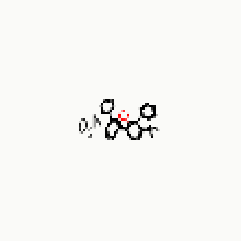 CC1(C)c2ccccc2-c2c1ccc1c2oc2c(-c3ccccc3[N+](=O)[O-])cccc21